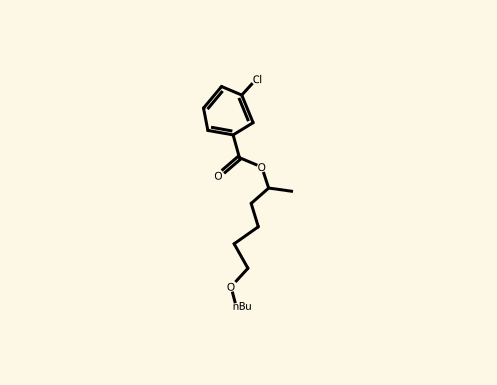 CCCCOCCCCC(C)OC(=O)c1cccc(Cl)c1